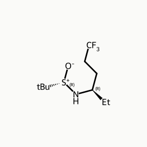 CC[C@H](CCC(F)(F)F)N[S@@+]([O-])C(C)(C)C